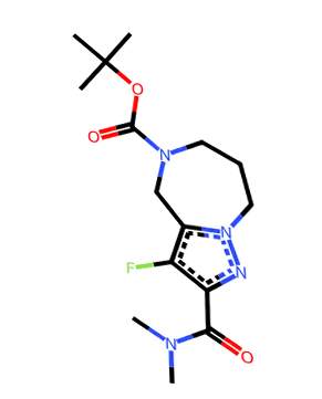 CN(C)C(=O)c1nn2c(c1F)CN(C(=O)OC(C)(C)C)CCC2